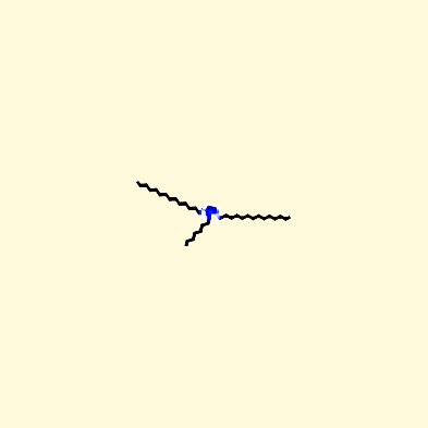 CCCCCCCCCCCCCCn1cc[n+](CCCCCCCCCCCCCC)c1CCCCCCC